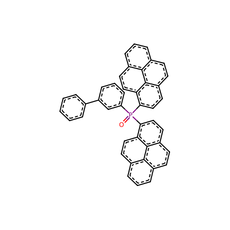 O=P(c1cccc(-c2ccccc2)c1)(c1ccc2ccc3cccc4ccc1c2c34)c1ccc2ccc3cccc4ccc1c2c34